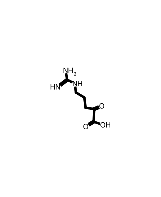 N=C(N)NCCCC(=O)C(=O)O